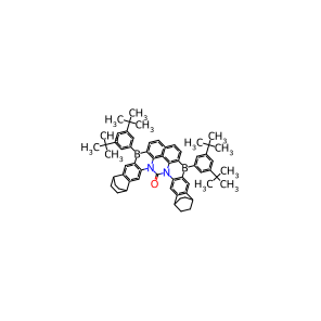 CC(C)(C)c1cc(B2c3cc4c(cc3N3C(=O)N5c6cc7c(cc6B(c6cc(C(C)(C)C)cc(C(C)(C)C)c6)c6ccc8ccc2c3c8c65)C2CCC7CC2)C2CCC4CC2)cc(C(C)(C)C)c1